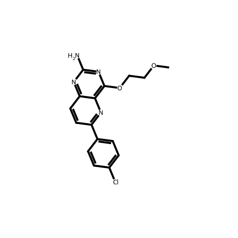 COCCOc1nc(N)nc2ccc(-c3ccc(Cl)cc3)nc12